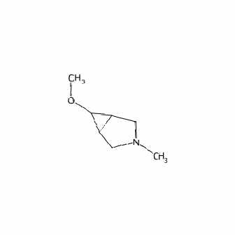 COC1C2CN(C)CC21